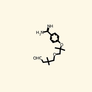 CC(C)(CC=O)COCC(C)(C)Oc1ccc(C(=N)N)cc1